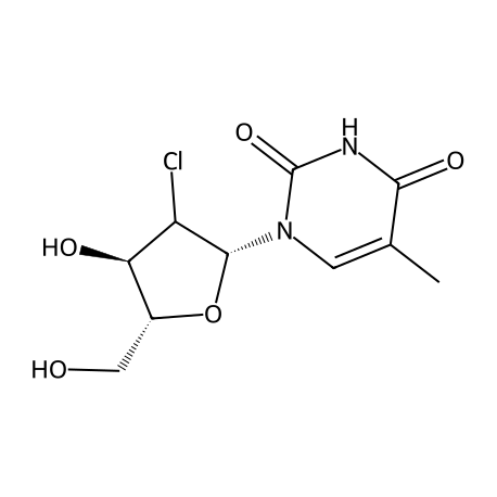 Cc1cn([C@@H]2O[C@H](CO)[C@@H](O)C2Cl)c(=O)[nH]c1=O